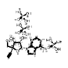 C#C[C@]1(CO)O[C@@H](n2cnc3c(N)ncnc32)[C@H](O)[C@@H]1O.O=P(O)(O)O.O=P(O)(O)O.O=P(O)(O)O